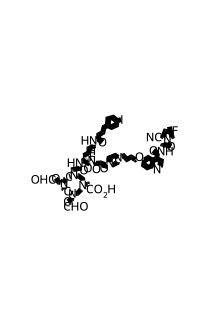 CC1(F)C[C@H](C#N)N(C(=O)CNC(=O)c2ccnc3ccc(OCCCCN4CCN(C(=O)CC(=O)NC(=O)[C@H](CC(F)CCNC(=O)CCCc5ccc(I)cc5)NC(=O)CN5CCN(COC=O)CCN(COC=O)CCN(CC(=O)O)CC5)CC4)cc23)C1